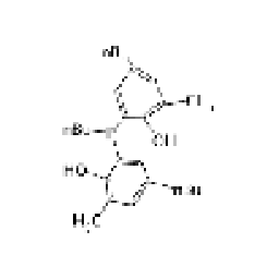 CCCCc1cc(C)c(O)c(P(CCCC)c2cc(CCCC)cc(C)c2O)c1